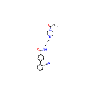 CC(=O)N1CCN(CCCCNC(=O)c2ccc(-c3ccccc3C#N)cc2)CC1